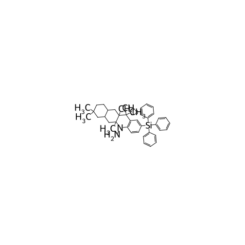 CC1(C)CCC2CC3(C)C(C)(C)c4cc([Si](c5ccccc5)(c5ccccc5)c5ccccc5)ccc4N(N)C3(C)CC2C1